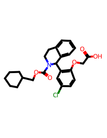 O=C(O)COc1ccc(Cl)cc1C1c2ccccc2CCN1C(=O)OCC1CCCCC1